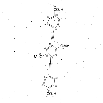 COc1cc(C#Cc2ccc(C(=O)O)cc2)c(OC)cc1C#Cc1ccc(C(=O)O)cc1